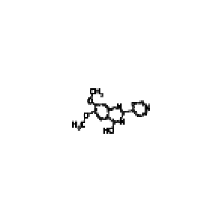 COc1cc2nc(-c3ccncc3)nc(O)c2cc1OC